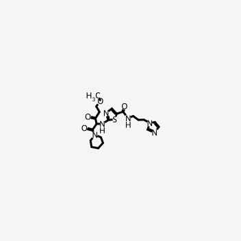 COCCC(=O)C(Nc1ncc(C(=O)NCCCn2ccnc2)s1)C(=O)N1CCCCC1